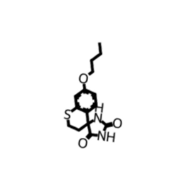 CCCCOc1ccc2c(c1)SCCC21NC(=O)NC1=O